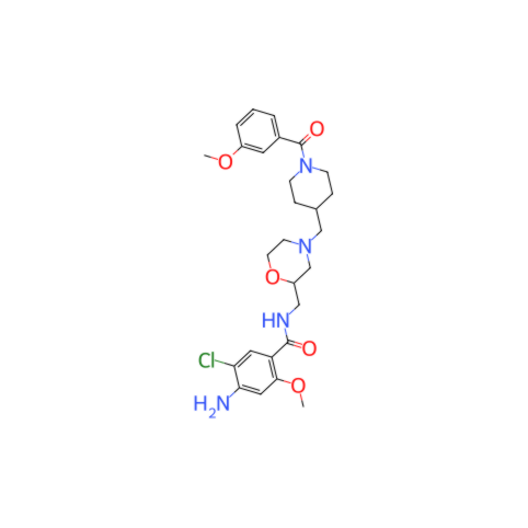 COc1cccc(C(=O)N2CCC(CN3CCOC(CNC(=O)c4cc(Cl)c(N)cc4OC)C3)CC2)c1